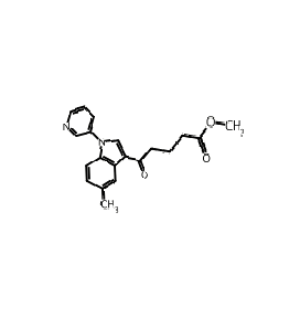 COC(=O)CCCC(=O)c1cn(-c2cccnc2)c2ccc(C)cc12